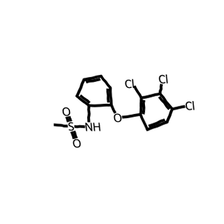 CS(=O)(=O)Nc1ccccc1Oc1ccc(Cl)c(Cl)c1Cl